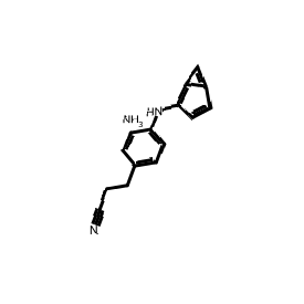 N.N#CCCc1ccc(Nc2ccc3cc2-3)cc1